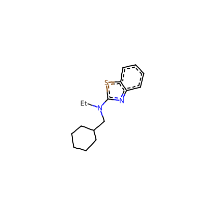 CCN(CC1CCCCC1)c1nc2ccccc2s1